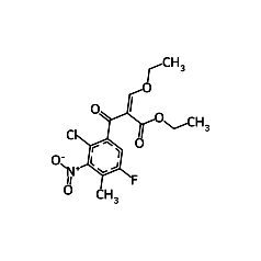 CCOC=C(C(=O)OCC)C(=O)c1cc(F)c(C)c([N+](=O)[O-])c1Cl